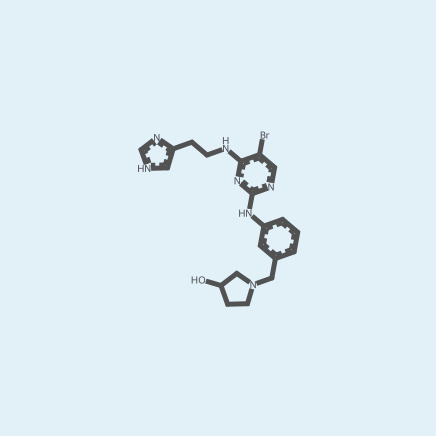 OC1CCN(Cc2cccc(Nc3ncc(Br)c(NCCc4c[nH]cn4)n3)c2)C1